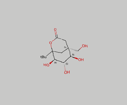 CC(C)(C)C12C[C@@](CO)(CC(=O)O1)[C@@H](O)[C@H](O)[C@H]2O